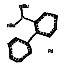 CCCCP(CCCC)c1ccccc1-c1ccccc1.[Pd]